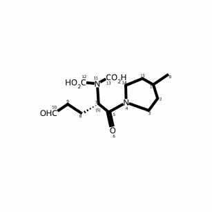 CC1CCN(C(=O)[C@H](CCC=O)N(C(=O)O)C(=O)O)CC1